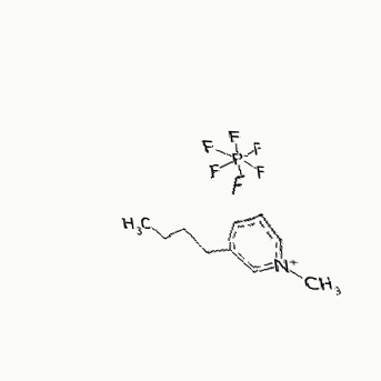 CCCCc1ccc[n+](C)c1.F[P-](F)(F)(F)(F)F